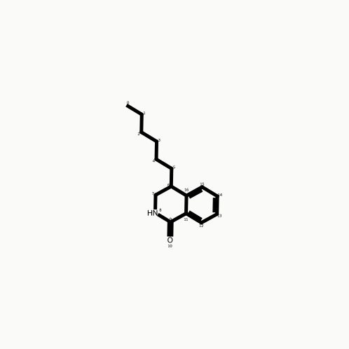 CCCCCCC1CNC(=O)c2ccccc21